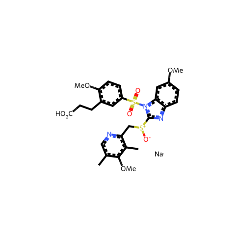 COc1ccc2nc([S+]([O-])Cc3ncc(C)c(OC)c3C)n(S(=O)(=O)c3ccc(OC)c(CCC(=O)O)c3)c2c1.[Na]